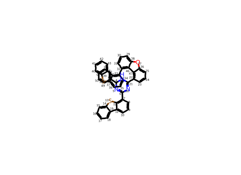 c1ccc(C2N=C(c3cccc4c3sc3ccccc34)N=C(c3cccc4oc5cccc(-c6cccc7sc8ccccc8c67)c5c34)N2)cc1